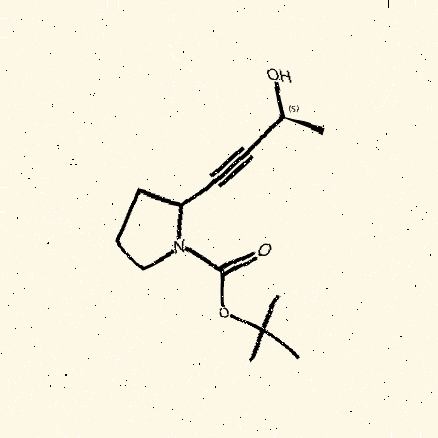 C[C@H](O)C#CC1CCCN1C(=O)OC(C)(C)C